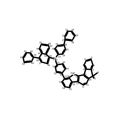 CC1(C)c2ccccc2-c2c1ccc1c2sc2c(-c3ccc(N(c4ccc(-c5ccccc5)cc4)c4ccc(-c5ccccc5)c5ccccc45)cc3)cccc21